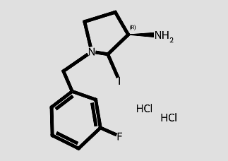 Cl.Cl.N[C@@H]1CCN(Cc2cccc(F)c2)C1I